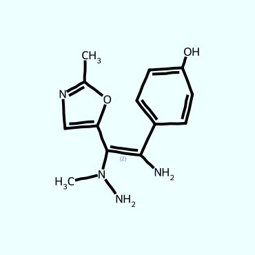 Cc1ncc(/C(=C(/N)c2ccc(O)cc2)N(C)N)o1